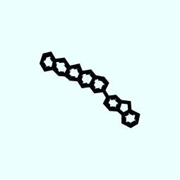 c1ccc2c(c1)Cc1cc(-c3ccc4cc5cc6cc7ccccc7cc6cc5cc4c3)ccc1-2